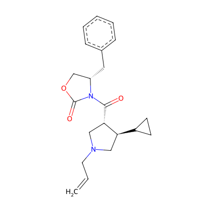 C=CCN1C[C@H](C(=O)N2C(=O)OC[C@@H]2Cc2ccccc2)[C@@H](C2CC2)C1